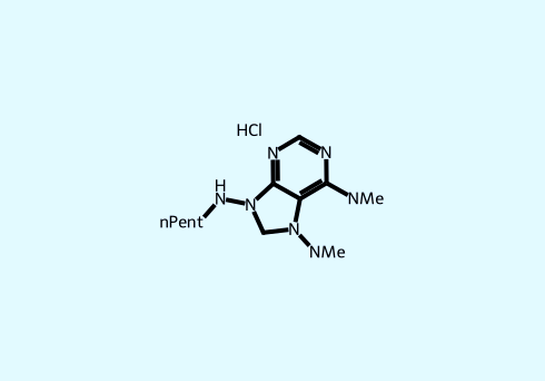 CCCCCNN1CN(NC)c2c(NC)ncnc21.Cl